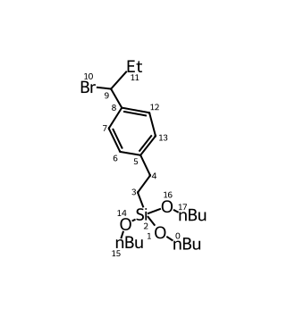 CCCCO[Si](CCc1ccc(C(Br)CC)cc1)(OCCCC)OCCCC